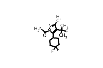 Cc1nn(C(N)=O)c(C2CCC(F)(F)CC2)c1C(C)(C)F